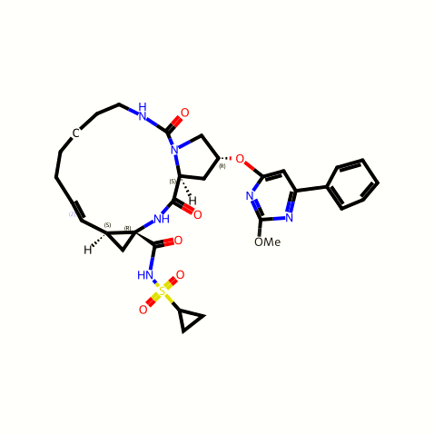 COc1nc(O[C@@H]2C[C@H]3C(=O)N[C@]4(C(=O)NS(=O)(=O)C5CC5)C[C@H]4/C=C\CCCCCNC(=O)N3C2)cc(-c2ccccc2)n1